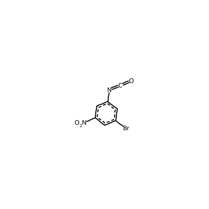 O=C=Nc1cc(Br)cc([N+](=O)[O-])c1